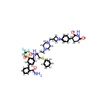 NC(=O)c1ccccc1-c1ccc(N[C@H](CCN2CCN(CC3CN(c4ccc(C5CCC(=O)NC5=O)cc4)C3)CC2)CSc2ccccc2)c(S(=O)(=O)C(F)(F)F)c1